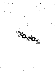 NNC(=O)C1CCC(n2cc(C3(F)CCN(C(=O)O)CC3)nn2)CC1